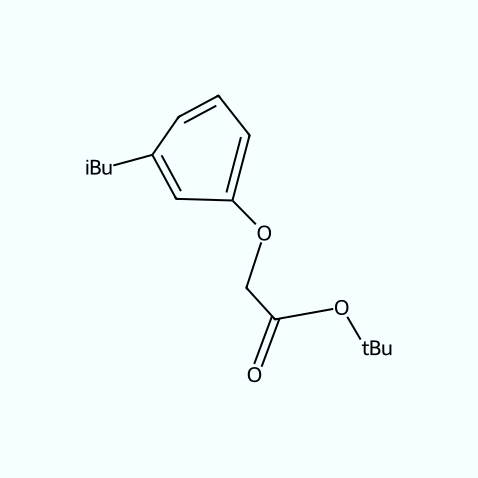 CCC(C)c1cccc(OCC(=O)OC(C)(C)C)c1